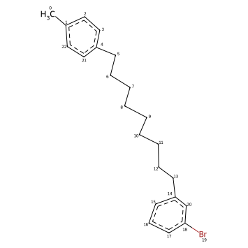 Cc1ccc(CCCCCCCCCc2cccc(Br)c2)cc1